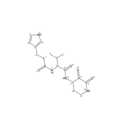 CC(C)C(NC(=O)SCc1cc[nH]c1)C(=O)NC1CCNC(=O)C1=O